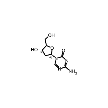 Nc1ncn([C@H]2C[C@H](O)C(CO)O2)c(=O)n1